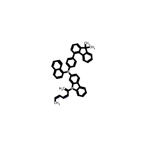 C=C(/C=C\C=C/C)n1c2ccccc2c2ccc(N(c3ccc(-c4cccc5c4-c4ccccc4C5(C)C)cc3)c3cccc4ccc#cc34)cc21